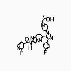 C[C@@H](O)CN1CCC(n2cnc(-c3ccc(F)cc3)c2-c2ccc3nc(NC(=O)c4ccnc(F)c4)cn3n2)CC1